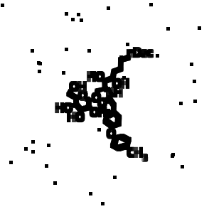 CCCCCCCCCCCCCC[C@@H](O)[C@@H](O)[C@H](CO[C@H]1OC(CO)[C@H](O)[C@H](O)C1O)NC(=O)Cc1ccc(Oc2ccc(C)cc2)cc1